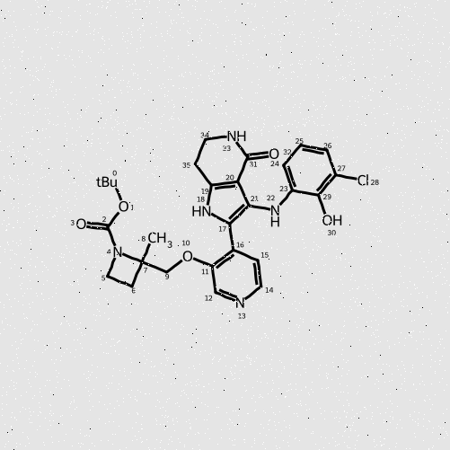 CC(C)(C)OC(=O)N1CCC1(C)COc1cnccc1-c1[nH]c2c(c1Nc1cccc(Cl)c1O)C(=O)NCC2